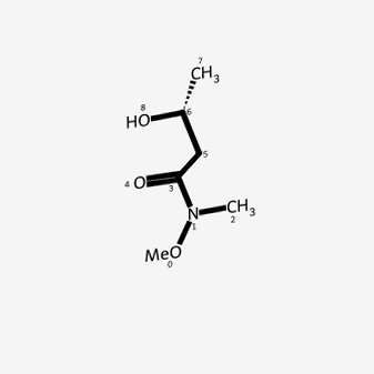 CON(C)C(=O)C[C@@H](C)O